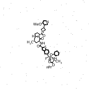 CCCOC(=O)[C@H](C)N[P@](=O)(Oc1ccccc1)[C@@H](F)c1ccc2sc(C(=O)N[C@H]3C[C@@H](C)C[C@H]4CC[C@@H](C(=O)N5CC(c6cnccc6OC)C5)N4C3=O)cc2c1